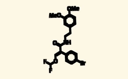 COc1ccc(CCNC(=O)C(=COC(F)F)c2ccc(Br)cc2)cc1OC